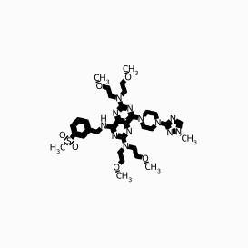 COCCN(CCOC)c1nc(N2CCN(c3ncn(C)n3)CC2)c2nc(N(CCOC)CCOC)nc(NCc3cccc(S(C)(=O)=O)c3)c2n1